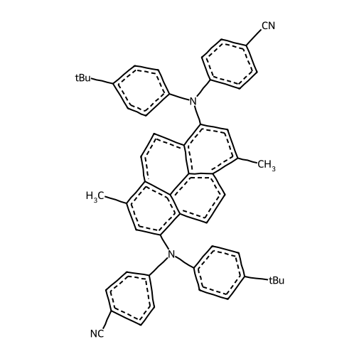 Cc1cc(N(c2ccc(C#N)cc2)c2ccc(C(C)(C)C)cc2)c2ccc3c(C)cc(N(c4ccc(C#N)cc4)c4ccc(C(C)(C)C)cc4)c4ccc1c2c34